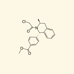 COC(=O)c1ccc([C@H]2c3ccccc3C[C@H](C)N2C(=O)CCl)cc1